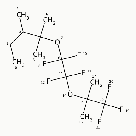 CCC(C)C(C)(C)OC(F)(F)C(F)(F)OC(C)(C)C(F)(F)F